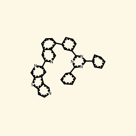 c1ccc(-c2nc(-c3ccccc3)nc(-c3cccc(-c4cccc5cc(-c6cc7c(cn6)sc6ccncc67)ncc45)c3)n2)cc1